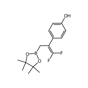 CC1(C)OB(CC(=C(F)F)c2ccc(O)cc2)OC1(C)C